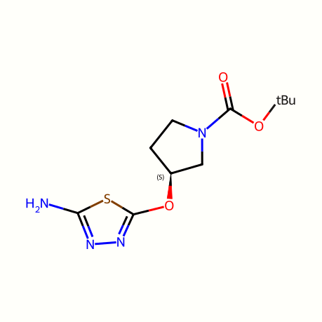 CC(C)(C)OC(=O)N1CC[C@H](Oc2nnc(N)s2)C1